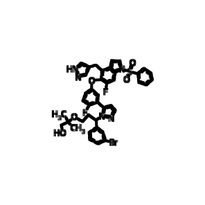 CC(C)(CO)OCCC(c1cccc(Br)c1)n1nccc1-c1cc(Oc2c(F)cc3c(ccn3S(=O)(=O)c3ccccc3)c2Cc2cn[nH]c2)ccc1F